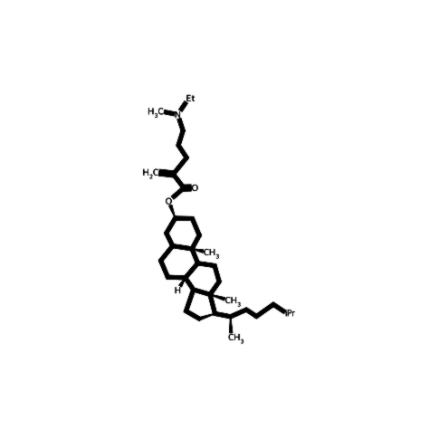 C=C(CCCN(C)CC)C(=O)O[C@H]1CC[C@@]2(C)C(CC[C@@H]3C2CC[C@@]2(C)C3CC[C@@H]2[C@H](C)CCCC(C)C)C1